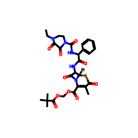 CCN1CCN(C(=O)NC(C(=O)NC2C(=O)N3C(C(=O)OCOC(=O)C(C)(C)C)=C(C)C(=O)S[C@@H]23)c2ccccc2)C(=O)C1=O